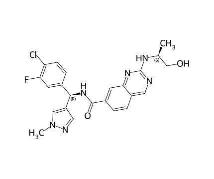 C[C@@H](CO)Nc1ncc2ccc(C(=O)N[C@H](c3ccc(Cl)c(F)c3)c3cnn(C)c3)cc2n1